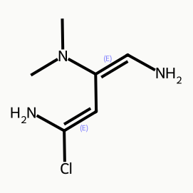 CN(C)C(/C=C(\N)Cl)=C/N